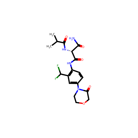 CC(C)C(=O)N[C@H](C(N)=O)C(=O)Nc1ccc(N2CCOCC2=O)cc1C(F)F